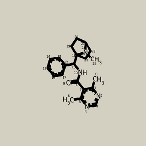 Cc1ncnc(C)c1C(=O)NC(c1ccccc1)C12CCC(CC1)N2C